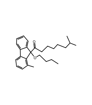 CCCCOC1(C(=O)CCCCCC(C)C)c2ccccc2-c2cccc(C)c21